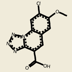 COc1cc2cc(C(=O)O)c3nnnn3c2cc1Cl